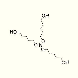 OCCCCCON(OCCCCCO)OCCCCCO